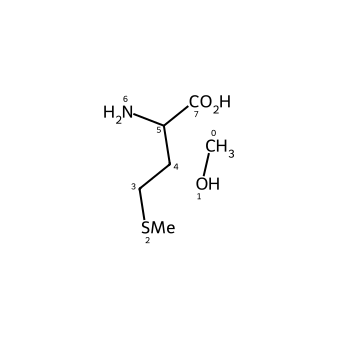 CO.CSCCC(N)C(=O)O